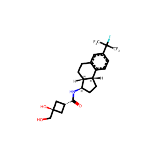 O=C(N[C@@H]1CC[C@H]2c3ccc(C(F)(C(F)(F)F)C(F)(F)F)cc3CC[C@@H]12)[C@H]1C[C@@](O)(CO)C1